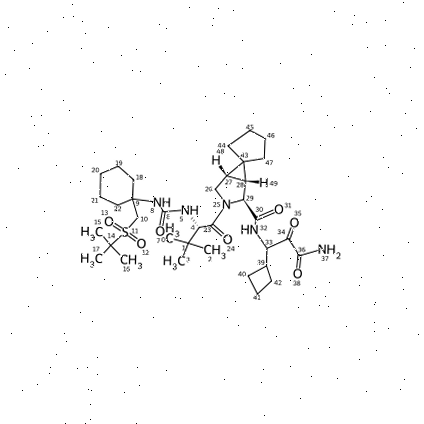 CC(C)(C)[C@H](NC(=O)NC1(CS(=O)(=O)C(C)(C)C)CCCCC1)C(=O)N1C[C@H]2[C@@H]([C@H]1C(=O)NC(C(=O)C(N)=O)C1CCC1)C21CCCC1